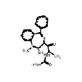 CCCCCCC(=O)NC(C)C(=O)C1N=C(c2ccccc2)c2ccccc2N(C)[C@@H]1N